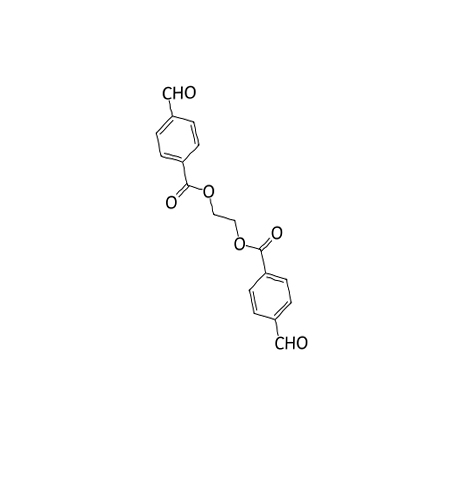 O=Cc1ccc(C(=O)OCCOC(=O)c2ccc(C=O)cc2)cc1